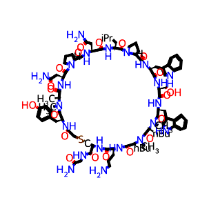 CCCC[C@H]1C(=O)N(C)[C@@H](CCCC)C(=O)N[C@@H](CCCN)C(=O)NC(C(=O)NCC(N)=O)CSCC(=O)N[C@@H](Cc2ccc(O)cc2)C(=O)N(C)[C@@H](C)C(=O)N[C@@H](CC(N)=O)C(=O)N2CCC[C@H]2C(=O)N[C@@H](CC(N)=O)C(=O)N[C@@H](CC(C)C)C(=O)N2CCC[C@H]2C(=O)N[C@@H](Cc2c[nH]c3ccccc23)C(=O)N[C@@H](CO)C(=O)N[C@@H](Cc2c[nH]c3ccccc23)C(=O)N1C